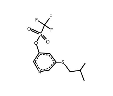 CC(C)CSc1cncc(OS(=O)(=O)C(F)(F)F)c1